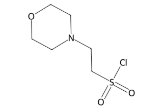 O=S(=O)(Cl)CCN1CCOCC1